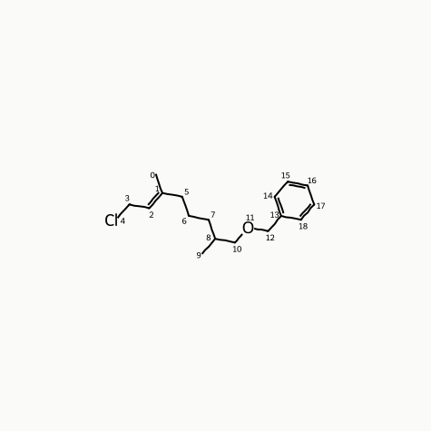 CC(=CCCl)CCCC(C)COCc1ccccc1